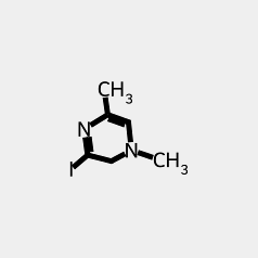 CC1=CN(C)CC(I)=N1